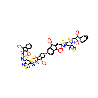 O=C1C(=Cc2nc3c4nsnc4c4nc(/C=C5\C(=O)c6ccc(-c7ccc8c(=O)/c(=N\c9nc%10c%11nsnc%11c%11nc(N=c%12c(=O)c%13ccccc%13c%12=O)sc%11c%10s9)c(=O)c8c7)cc6C5=O)sc4c3s2)C(=O)c2ccccc21